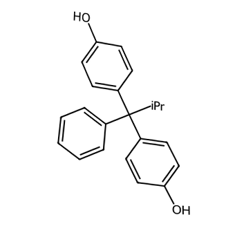 CC(C)C(c1ccccc1)(c1ccc(O)cc1)c1ccc(O)cc1